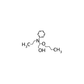 CCCCOC(CO)N(CCC)c1ccccc1